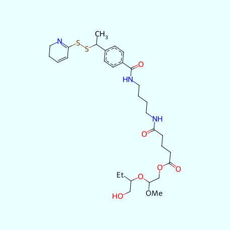 CCC(CO)OC(COC(=O)CCCC(=O)NCCCCNC(=O)c1ccc(C(C)SSC2=NCCC=C2)cc1)OC